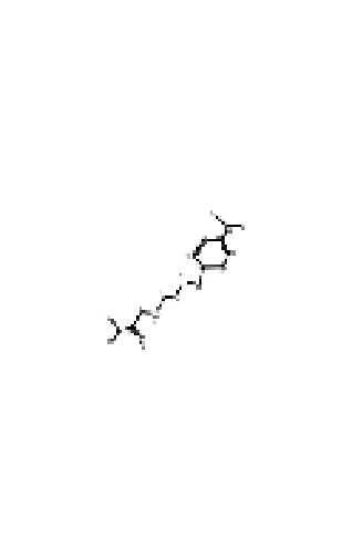 CC(C)C(=O)COCCOCc1ccc(C(C)C)cc1